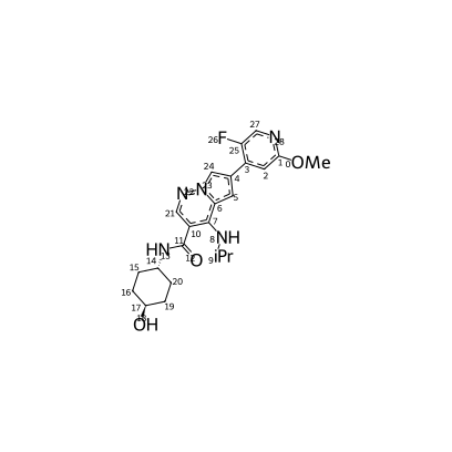 COc1cc(-c2cc3c(NC(C)C)c(C(=O)N[C@H]4CC[C@H](O)CC4)cnn3c2)c(F)cn1